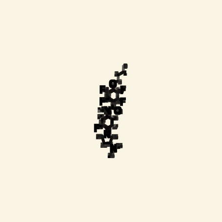 CCCCOc1c(F)c(F)c(C(=O)N(C)c2ccc(N3CCC(N(C)C)C3)c(F)c2)c(F)c1F